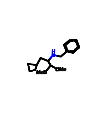 COC(OC)C(CC1CCC1)NCc1ccccc1